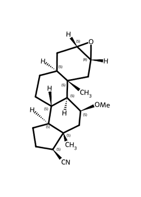 CO[C@H]1C[C@]2(C)[C@@H](C#N)CC[C@H]2[C@@H]2CC[C@H]3C[C@@H]4O[C@@H]4C[C@]3(C)[C@H]21